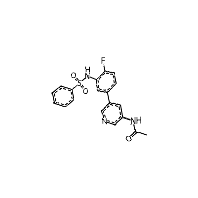 CC(=O)Nc1cncc(-c2ccc(F)c(NS(=O)(=O)c3ccccc3)c2)c1